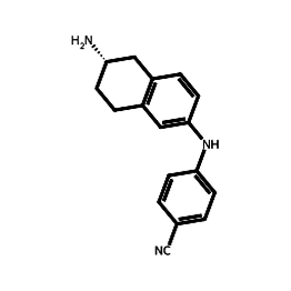 N#Cc1ccc(Nc2ccc3c(c2)CC[C@H](N)C3)cc1